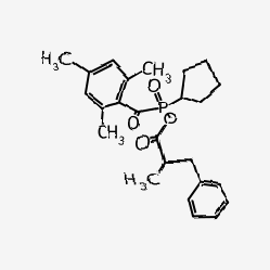 Cc1cc(C)c(C(=O)P(=O)(OC(=O)C(C)Cc2ccccc2)C2CCCC2)c(C)c1